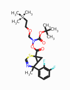 CC(C)(C)OC(=O)N(COCC[Si](C)(C)C)OC(=O)C12CC1C(C)(c1cccc(F)c1F)N=CS2